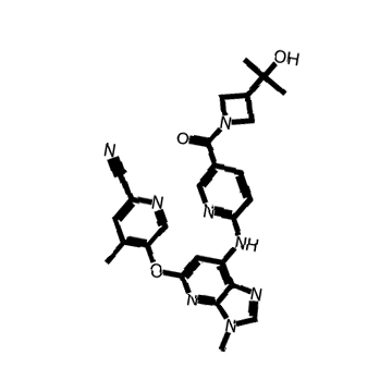 Cc1cc(C#N)ncc1Oc1cc(Nc2ccc(C(=O)N3CC(C(C)(C)O)C3)cn2)c2ncn(C)c2n1